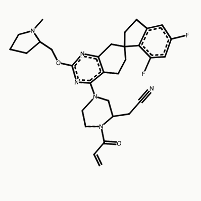 C=CC(=O)N1CCN(c2nc(OCC3CCCN3C)nc3c2CCC2(CCc4cc(F)cc(F)c42)C3)CC1CC#N